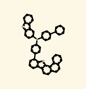 c1ccc(-c2ccc(N(c3ccc(-c4cccc5c4oc4c5ccc5ccc6ccccc6c54)cc3)c3ccc4sc5ccccc5c4c3)cc2)cc1